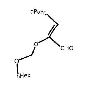 CCCCCC=C(C=O)OCOCCCCCC